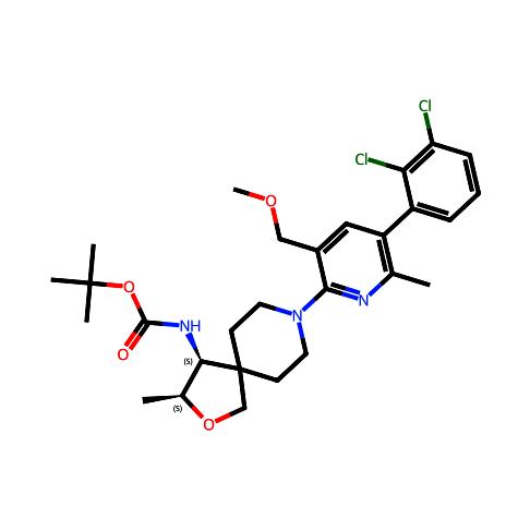 COCc1cc(-c2cccc(Cl)c2Cl)c(C)nc1N1CCC2(CC1)CO[C@@H](C)[C@H]2NC(=O)OC(C)(C)C